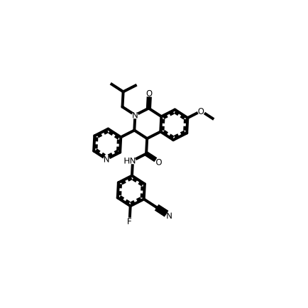 COc1ccc2c(c1)C(=O)N(CC(C)C)C(c1cccnc1)C2C(=O)Nc1ccc(F)c(C#N)c1